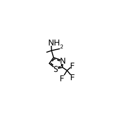 CC(C)(N)c1csc(C(F)(F)F)n1